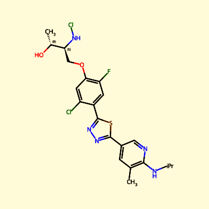 Cc1cc(-c2nnc(-c3cc(F)c(OC[C@H](NCl)[C@@H](C)O)cc3Cl)s2)cnc1NC(C)C